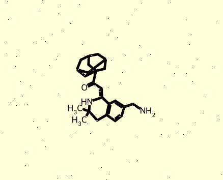 CC1(C)Cc2ccc(CN)cc2C(=CC(=O)C23CC4CC(CC(C4)C2)C3)N1